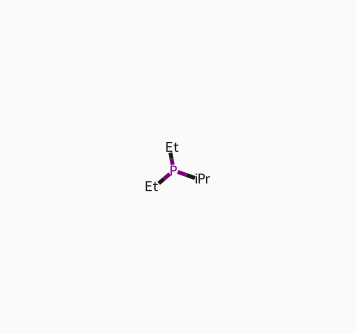 CCP(CC)C(C)C